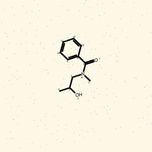 CC(O)CN(C)C(=O)c1ccccc1